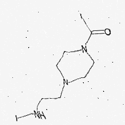 O=C(I)N1CCN(CCNI)CC1